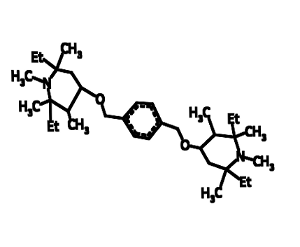 CCC1(C)CC(OCc2ccc(COC3CC(C)(CC)N(C)C(C)(CC)C3C)cc2)C(C)C(C)(CC)N1C